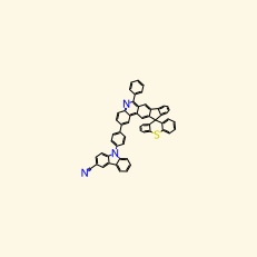 N#Cc1ccc2c(c1)c1ccccc1n2-c1ccc(-c2ccc3nc(-c4ccccc4)c4cc5c(cc4c3c2)C2(c3ccccc3Sc3ccccc32)c2ccccc2-5)cc1